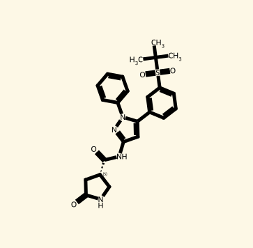 CC(C)(C)S(=O)(=O)c1cccc(-c2cc(NC(=O)[C@@H]3CNC(=O)C3)nn2-c2ccccc2)c1